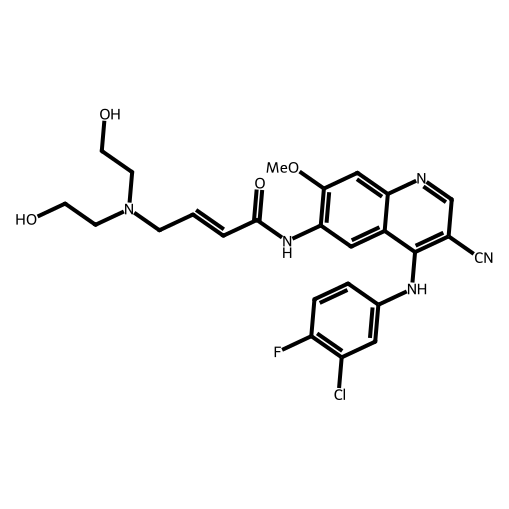 COc1cc2ncc(C#N)c(Nc3ccc(F)c(Cl)c3)c2cc1NC(=O)C=CCN(CCO)CCO